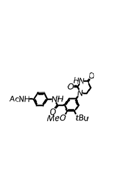 COc1c(C(=O)Nc2ccc(NC(C)=O)cc2)cc(N2CCC(=O)NC2=O)cc1C(C)(C)C